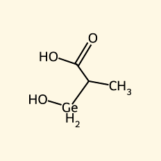 C[CH]([GeH2][OH])C(=O)O